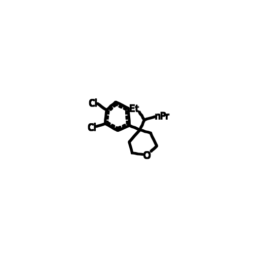 CCCC(CC)C1(c2ccc(Cl)c(Cl)c2)CCOCC1